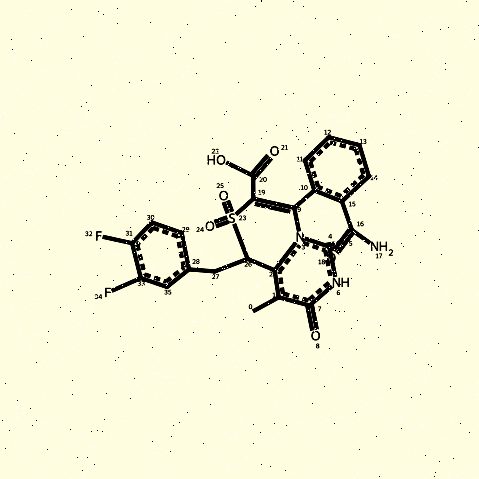 Cc1c2n(c(=O)[nH]c1=O)C(c1ccccc1C(N)=O)=C(C(=O)O)S(=O)(=O)C2Cc1ccc(F)c(F)c1